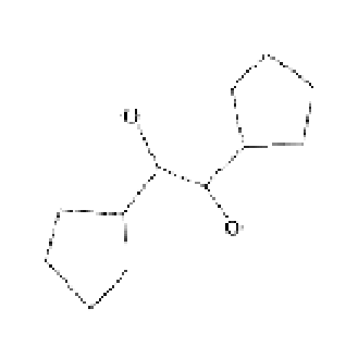 [O]C(C1CCCC1)C([O])C1CCCC1